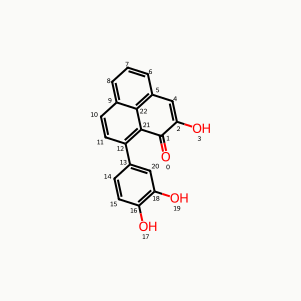 O=C1C(O)=Cc2cccc3ccc(-c4ccc(O)c(O)c4)c1c23